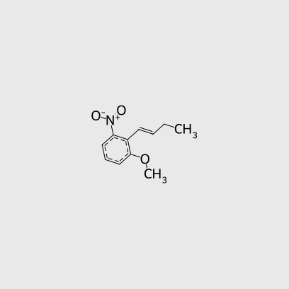 CCC=Cc1c(OC)cccc1[N+](=O)[O-]